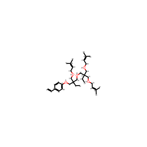 C=Cc1ccc(OCC(CC)(COCC=C(C)C)COCC(CC)(COCC=C(C)C)COCC=C(C)C)cc1